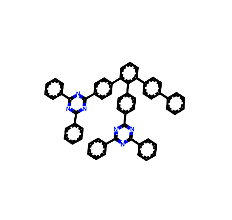 c1ccc(-c2ccc(-c3cccc(-c4ccc(-c5nc(-c6ccccc6)nc(-c6ccccc6)n5)cc4)c3-c3ccc(-c4nc(-c5ccccc5)nc(-c5ccccc5)n4)cc3)cc2)cc1